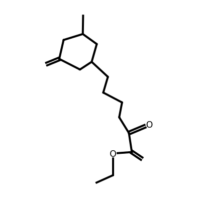 C=C1CC(C)CC(CCCCC(=O)C(=C)OCC)C1